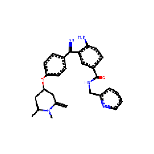 C=C1CC(Oc2ccc(C(=N)c3cc(C(=O)NCc4ccccn4)ccc3N)cc2)CC(C)N1C